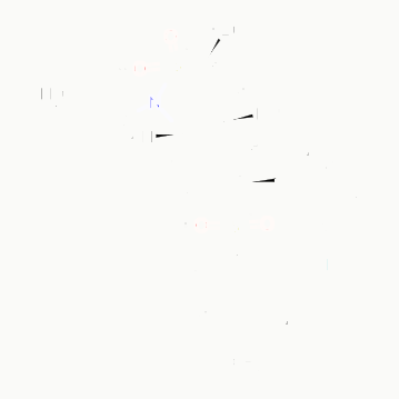 C=CCN1[C@H]2CC[C@@](c3cc(F)ccc3F)(S(=O)(=O)c3ccc(C(F)(F)F)cc3)C[C@H]2C[C@H](CC)S1(=O)=O